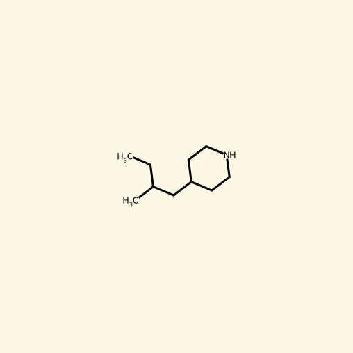 CCC(C)[CH]C1CCNCC1